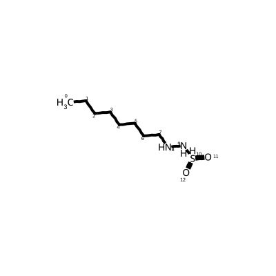 CCCCCCCCNN[SH](=O)=O